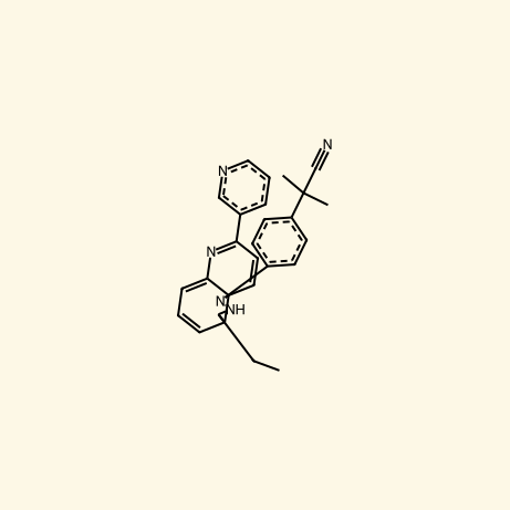 CCC1NN(c2ccc(C(C)(C)C#N)cc2)C23C=CC(c4cccnc4)=NC2=CC=CC13